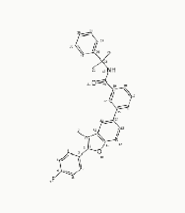 Cc1c(-c2ccc(F)cc2)oc2ncc(-c3cccc(C(=O)NC(C)(C)c4ccccc4)c3)cc12